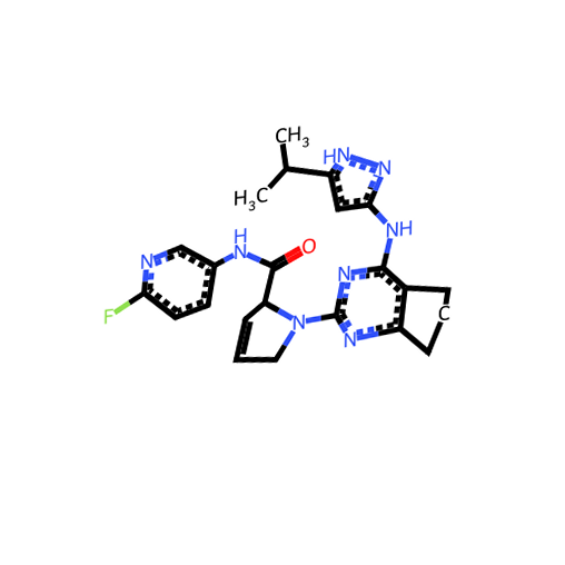 CC(C)c1cc(Nc2nc(N3CC=CC3C(=O)Nc3ccc(F)nc3)nc3c2CCC3)n[nH]1